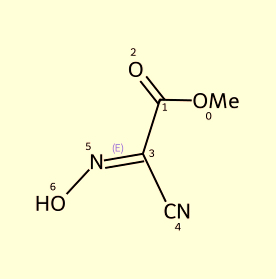 COC(=O)/C(C#N)=N/O